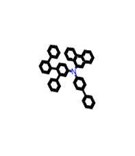 c1ccc(-c2ccc(N(c3ccc(-c4ccccc4-c4ccccc4)c(-c4ccccc4)c3)c3cc4ccccc4c4ccccc34)cc2)cc1